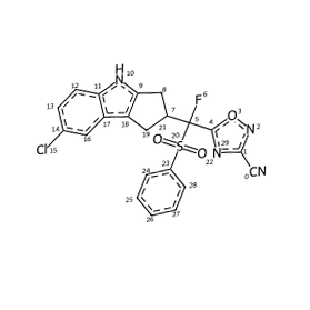 N#Cc1noc(C(F)(C2Cc3[nH]c4ccc(Cl)cc4c3C2)S(=O)(=O)c2ccccc2)n1